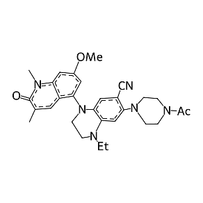 CCN1CCN(c2cc(OC)cc3c2cc(C)c(=O)n3C)c2cc(C#N)c(N3CCN(C(C)=O)CC3)cc21